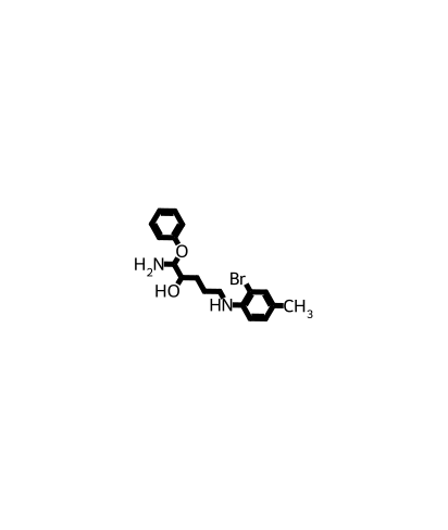 Cc1ccc(NCCCC(O)C(N)Oc2ccccc2)c(Br)c1